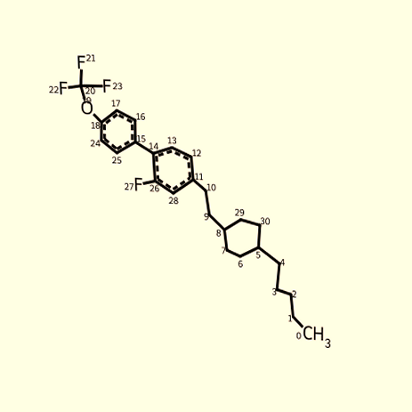 CCCCCC1CCC(CCc2ccc(-c3ccc(OC(F)(F)F)cc3)c(F)c2)CC1